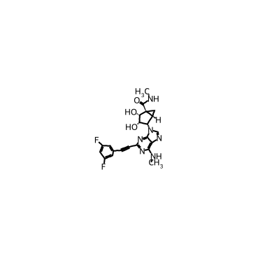 CNC(=O)[C@@]12C[C@@H]1[C@@H](n1cnc3c(NC)nc(C#Cc4cc(F)cc(F)c4)nc31)[C@H](O)[C@@H]2O